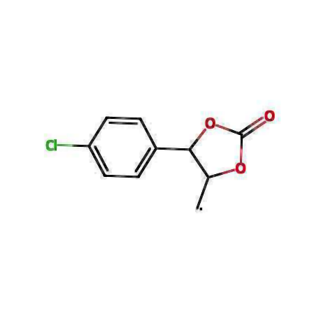 [CH2]C1OC(=O)OC1c1ccc(Cl)cc1